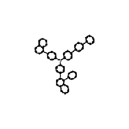 c1ccc(-c2ccc(-c3ccc(N(c4ccc(-c5ccc6ccccc6c5-c5ccccc5)cc4)c4ccc(-c5cccc6ccccc56)cc4)cc3)cc2)cc1